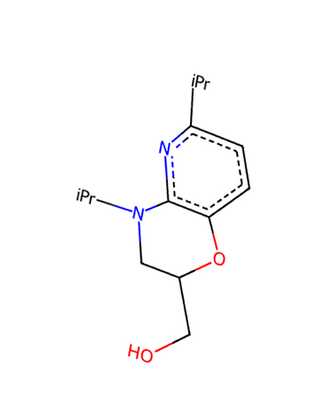 CC(C)c1ccc2c(n1)N(C(C)C)CC(CO)O2